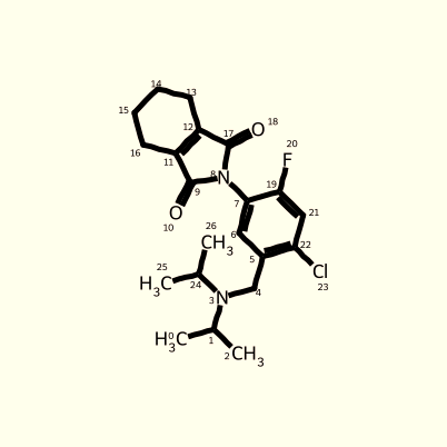 CC(C)N(Cc1cc(N2C(=O)C3=C(CCCC3)C2=O)c(F)cc1Cl)C(C)C